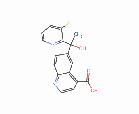 CC(O)(c1ccc2nccc(C(=O)O)c2c1)c1ncccc1F